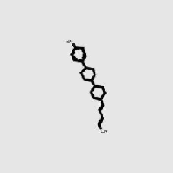 CCCc1ccc(C2CCC(C3CCC(C=CC=CC#N)CC3)CC2)cc1